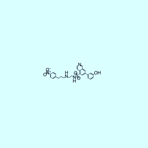 O=[N+]([O-])c1ccc(CCCNCCNS(=O)(=O)c2cc(-c3cccc(O)c3)cc3cnccc23)cc1